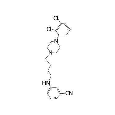 N#Cc1cccc(NCCCCN2CCN(c3cccc(Cl)c3Cl)CC2)c1